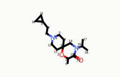 CC1OC2(CCN(CCC3CC3)CC2)CN(C(C)C)C1=O